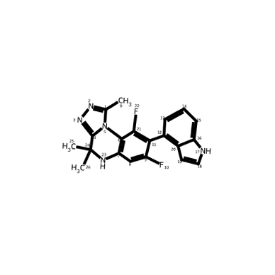 Cc1nnc2n1-c1c(cc(F)c(-c3cccc4[nH]ccc34)c1F)NC2(C)C